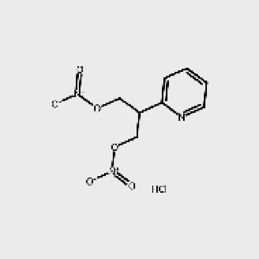 Cl.O=[N+]([O-])OCC(CO[N+](=O)[O-])c1ccccn1